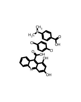 CN(C)c1ccc(C(=O)O)cc1.Clc1ccc(Cl)cc1.O=C(O)c1c2ccccc2nc2cc(O)cc(O)c12